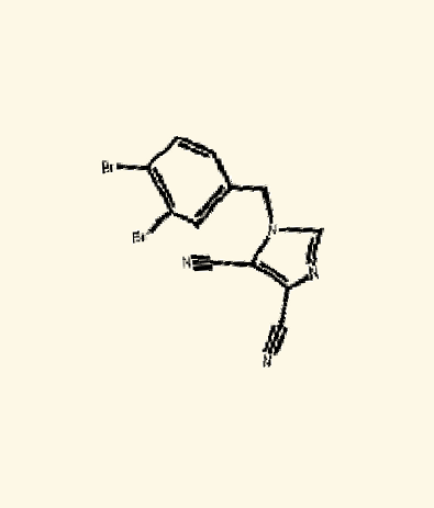 N#Cc1ncn(Cc2ccc(Br)c(Br)c2)c1C#N